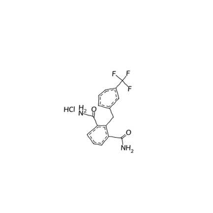 Cl.NC(=O)c1cccc(C(N)=O)c1Cc1cccc(C(F)(F)F)c1